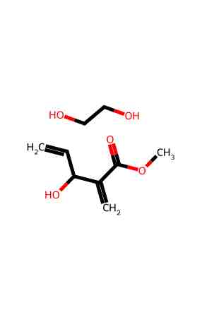 C=CC(O)C(=C)C(=O)OC.OCCO